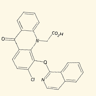 O=C(O)Cn1c2ccccc2c(=O)c2ccc(Cl)c(Oc3nccc4ccccc34)c21